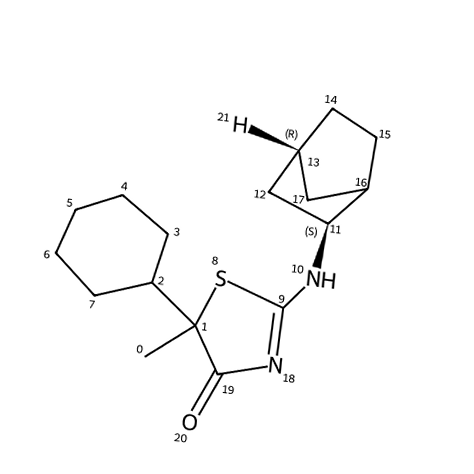 CC1(C2CCCCC2)SC(N[C@H]2C[C@@H]3CCC2C3)=NC1=O